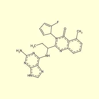 CCC(Nc1nc(N)nc2[nH]cnc12)c1nc2cccc(C)c2c(=O)n1C1C=CC=C1F